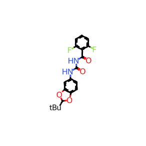 CC(C)(C)C1Oc2ccc(NC(=O)NC(=O)c3c(F)cccc3F)cc2O1